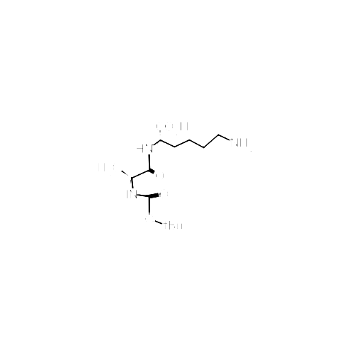 C[C@H](NC(=O)OC(C)(C)C)C(=O)N[C@@H](CCCCN)C(=O)O